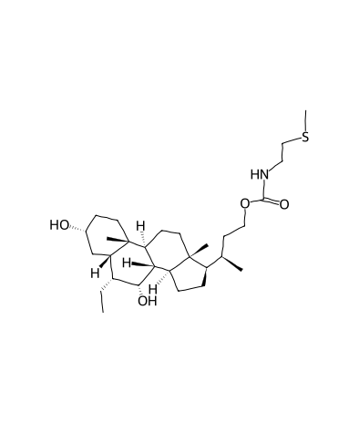 CC[C@H]1[C@@H](O)[C@@H]2[C@H](CC[C@]3(C)[C@@H]([C@H](C)CCOC(=O)NCCSC)CC[C@@H]23)[C@@]2(C)CC[C@@H](O)C[C@@H]12